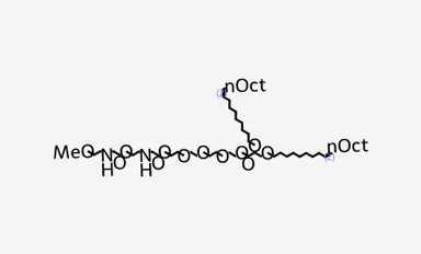 CCCCCCCC/C=C\CCCCCCCCOCC(OCCCCCCCC/C=C\CCCCCCCC)C(=O)OCCOCCOCCOCCOC(=O)CNCCOC(=O)CNCCOC